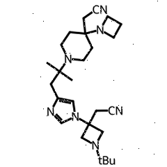 CC(C)(C)N1CC(CC#N)(n2cnc(CC(C)(C)N3CCC(CC#N)(N4CCC4)CC3)c2)C1